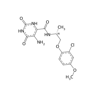 COc1ccc(OC[C@@H](C)NC(=O)c2[nH]c(=O)[nH]c(=O)c2N)c(Cl)c1